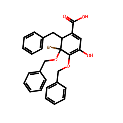 O=C(O)C1=CC(O)=C(OCc2ccccc2)C(Br)(OCc2ccccc2)C1Cc1ccccc1